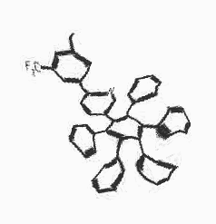 Cc1cc(-c2ccc(-c3c(-c4ccccc4)c(-c4ccccc4)c(-c4ccccc4)c(-c4ccccc4)c3-c3ccccc3)cn2)cc(C(F)(F)F)c1